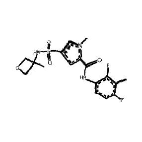 Cc1c(F)ccc(NC(=O)c2cc(S(=O)(=O)NC3(C)COC3)cn2C)c1F